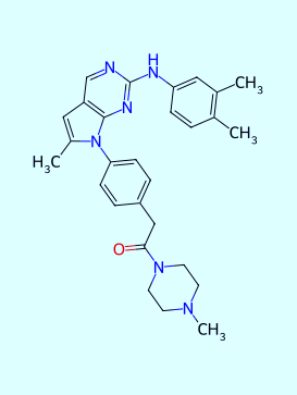 Cc1ccc(Nc2ncc3cc(C)n(-c4ccc(CC(=O)N5CCN(C)CC5)cc4)c3n2)cc1C